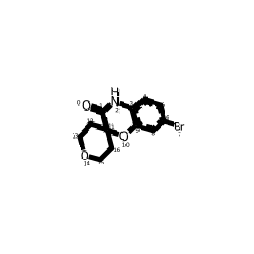 O=C1Nc2ccc(Br)cc2OC12CCOCC2